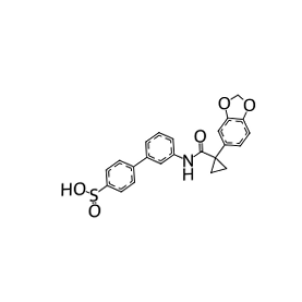 O=C(Nc1cccc(-c2ccc(S(=O)O)cc2)c1)C1(c2ccc3c(c2)OCO3)CC1